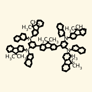 CC1(C)c2cc(-c3cc(N(c4ccc5c(c4)C(C)(C)c4ccccc4-5)c4ccc5ccccc5c4)cc(N(c4ccc5c(c4)C(C)(C)c4ccccc4-5)c4ccc5ccccc5c4)c3)ccc2-c2ccc(-c3cc(N(c4ccc5c(c4)C(C)(C)c4ccccc4-5)c4ccc5ccccc5c4)cc(N(c4ccc5c(c4)C(C)(C)c4ccccc4-5)c4ccc5ccccc5c4)c3)cc21